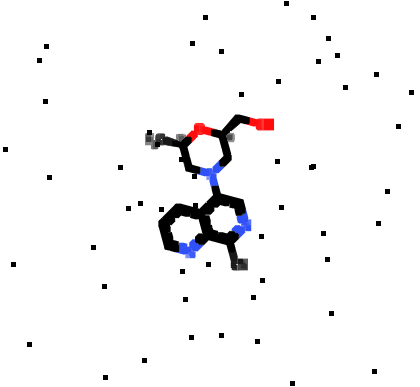 N#Cc1ncc(N2C[C@H](CO)O[C@H](C(F)(F)F)C2)c2cccnc12